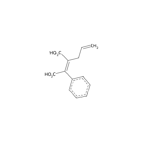 C=CC/C(C(=O)O)=C(/C(=O)O)c1ccccc1